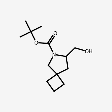 CC(C)(C)OC(=O)N1CC2(CCC2)CC1CO